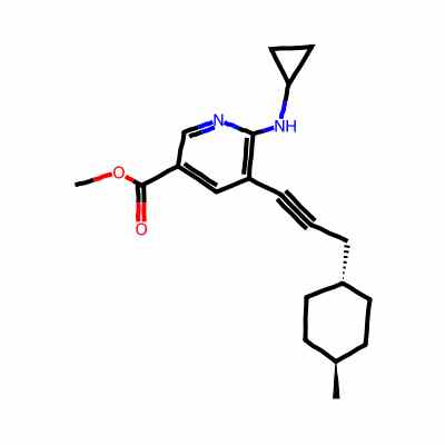 COC(=O)c1cnc(NC2CC2)c(C#CC[C@H]2CC[C@H](C)CC2)c1